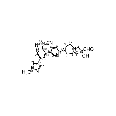 CC(C)[C@@](O)(C=O)CN1CCN(c2ccc(-c3cc(-c4cnn(C)c4)cn4ncc(C#N)c34)cn2)CC1